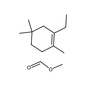 CCC1=C(C)CCC(C)(C)C1.COC=O